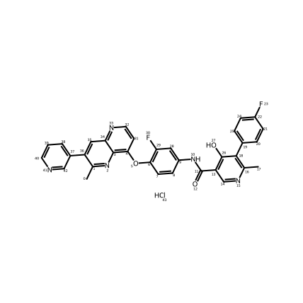 Cc1nc2c(Oc3ccc(NC(=O)c4cnc(C)c(-c5ccc(F)cc5)c4O)cc3F)ccnc2cc1-c1cccnc1.Cl